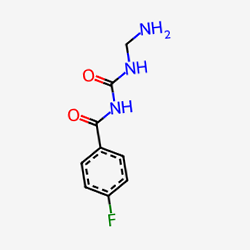 NCNC(=O)NC(=O)c1ccc(F)cc1